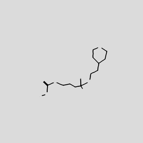 CCOC(=O)C(CCCNC(=O)OC(C)(C)C)(OCCC1CCOCC1)C(=O)OCC